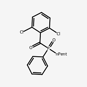 CCCCCP(=O)(C(=O)c1c(Cl)cccc1Cl)c1ccccc1